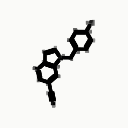 N#Cc1cnc2ccn(Cc3ccc(Cl)cc3)c2c1